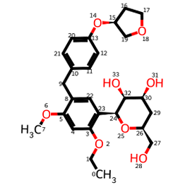 CCOc1cc(OC)c(Cc2ccc(O[C@H]3CCOC3)cc2)cc1[C@@H]1O[C@H](CO)C[C@H](O)[C@@H]1O